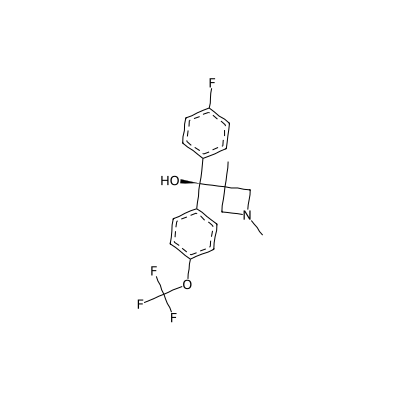 CN1CC(C)([C@@](O)(c2ccc(F)cc2)c2ccc(OC(F)(F)F)cc2)C1